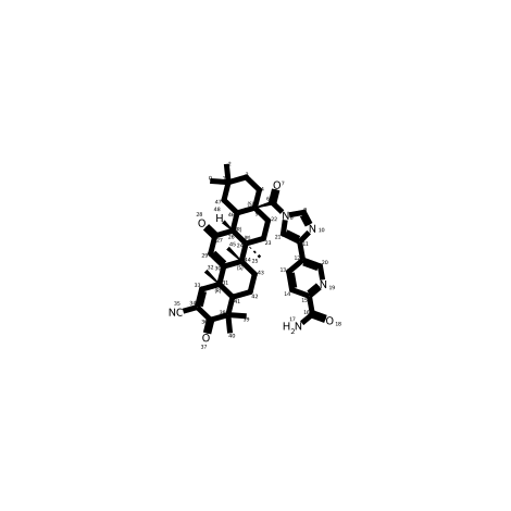 CC1(C)CC[C@]2(C(=O)n3cnc(-c4ccc(C(N)=O)nc4)c3)CC[C@]3(C)[C@H](C(=O)C=C4[C@@]5(C)C=C(C#N)C(=O)C(C)(C)C5CC[C@]43C)C2C1